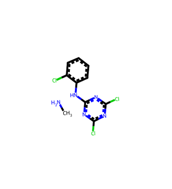 CN.Clc1nc(Cl)nc(Nc2ccccc2Cl)n1